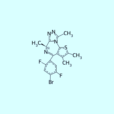 Cc1sc2c(c1C)C(c1cc(F)c(Br)cc1F)=N[C@@H](C)c1nnc(C)n1-2